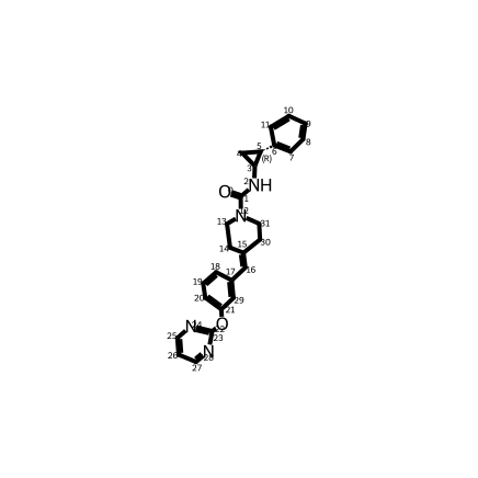 O=C(NC1C[C@@H]1c1ccccc1)N1CCC(=Cc2cccc(Oc3ncccn3)c2)CC1